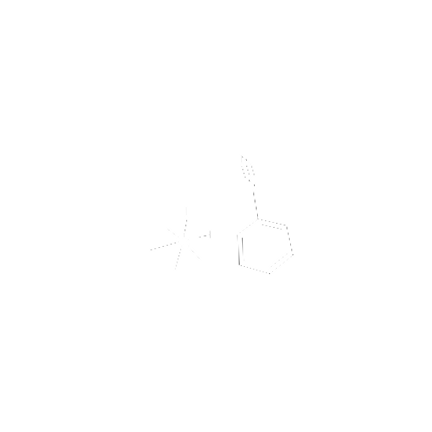 N#[N+]c1ccccc1.[F][Sb-]([F])([F])([F])([F])[F]